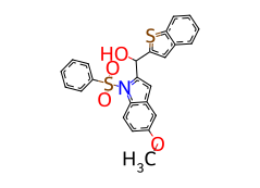 COc1ccc2c(c1)cc(C(O)c1cc3ccccc3s1)n2S(=O)(=O)c1ccccc1